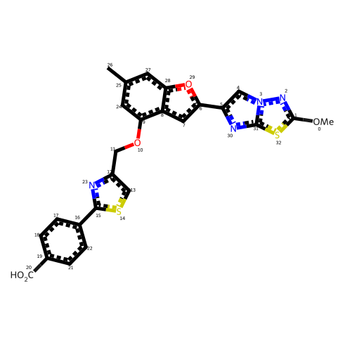 COc1nn2cc(-c3cc4c(OCc5csc(-c6ccc(C(=O)O)cc6)n5)cc(C)cc4o3)nc2s1